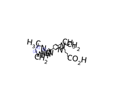 C=CC(C)N1CC2=CCC(C3=NOC(/C4=N/C/C(C)=C\C=C/C(=C)NN4)C3)C=C2N=C1CCCCC(=O)O